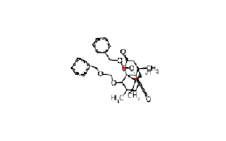 CC1=C2[C@@H](CC1=O)C1(C)CC(=O)OC23C(OCOCc2ccccc2)C(C)CC[C@@]31OCOCc1ccccc1